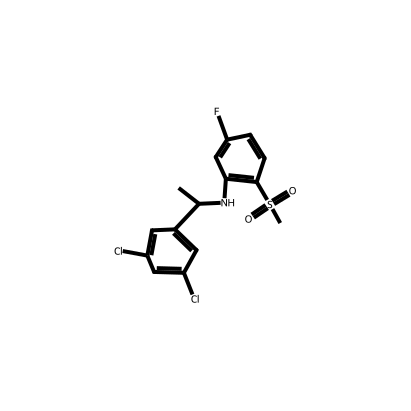 CC(Nc1cc(F)ccc1S(C)(=O)=O)c1cc(Cl)cc(Cl)c1